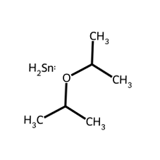 CC(C)OC(C)C.[SnH2]